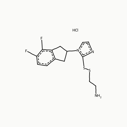 Cl.NCCSSc1nccn1C1Cc2ccc(F)c(F)c2C1